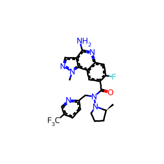 C[C@H]1CCCN1N(Cc1ccc(C(F)(F)F)cn1)C(=O)c1cc2c(cc1F)nc(N)c1cnn(C)c12